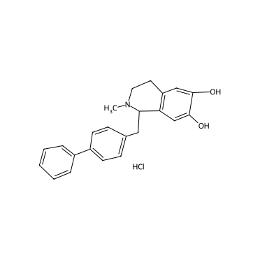 CN1CCc2cc(O)c(O)cc2C1Cc1ccc(-c2ccccc2)cc1.Cl